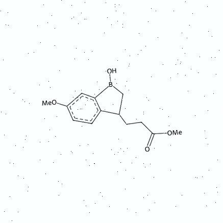 COC(=O)CCC1CB(O)c2cc(OC)ccc21